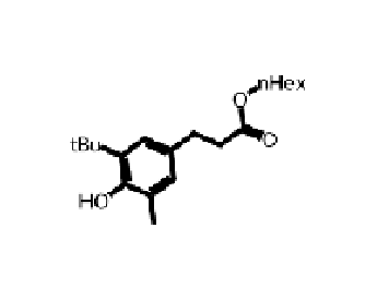 CCCCCCOC(=O)CCc1cc(C)c(O)c(C(C)(C)C)c1